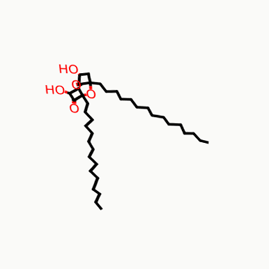 CCCCCCCCCCCCCCCC1(OC2(CCCCCCCCCCCCCCC)CC(O)C2=O)CC(O)C1=O